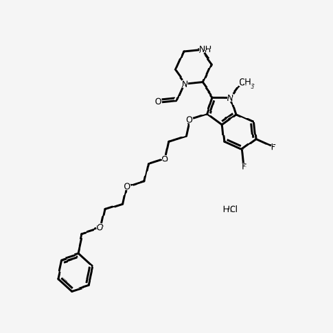 Cl.Cn1c(C2CNCCN2C=O)c(OCCOCCOCCOCc2ccccc2)c2cc(F)c(F)cc21